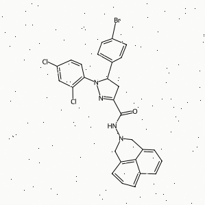 O=C(NN1Cc2cccc3cccc(c23)C1)C1=NN(c2ccc(Cl)cc2Cl)C(c2ccc(Br)cc2)C1